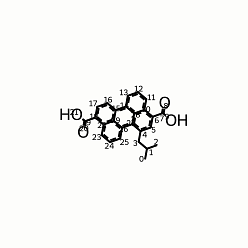 CC(C)Cc1cc(C(=O)O)c2cccc3c4ccc(C(=O)O)c5cccc(c1c23)c54